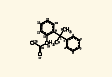 CC(C)(c1ccccc1)c1ccccc1OC(=O)Cl